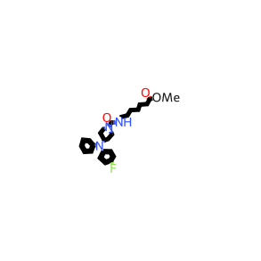 COC(=O)CCCCCCNC(=O)N1CCC(N(c2ccccc2)c2ccc(F)cc2)CC1